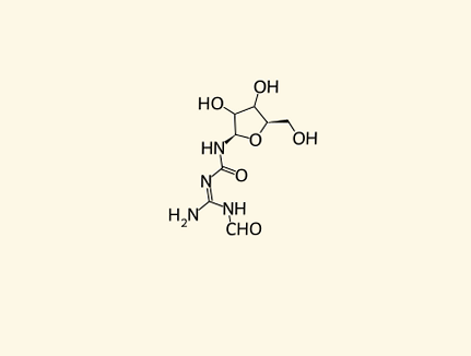 N/C(=N/C(=O)N[C@@H]1O[C@H](CO)C(O)C1O)NC=O